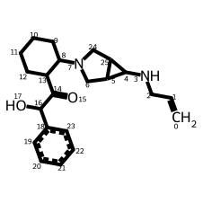 C=CCNC1C2CN(C3CCCCC3C(=O)C(O)c3ccccc3)CC21